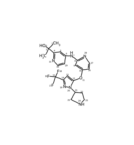 CC(C)(O)c1cc(Nc2cc(Oc3cc(C(F)(F)F)nn3C3CCNC3)ccn2)ccn1